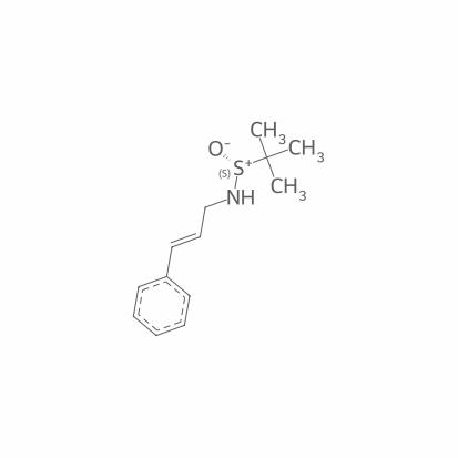 CC(C)(C)[S@@+]([O-])NCC=Cc1ccccc1